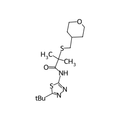 CC(C)(SCC1CCOCC1)C(=O)Nc1nnc(C(C)(C)C)s1